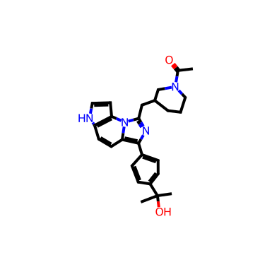 CC(=O)N1CCCC(Cc2nc(-c3ccc(C(C)(C)O)cc3)c3ccc4[nH]ccc4n23)C1